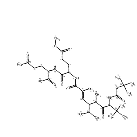 COC(=O)CCC(NC(=O)/C(C)=C/C(C(C)C)N(C)C(=O)C(NC(=O)OC(C)(C)C)C(C)(C)C)C(=O)NC(CCC(=O)O)C(=O)O